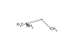 C=CCN(N)CCCCCCCC/C=C\CCCCCCCC